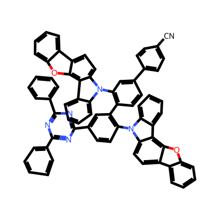 N#Cc1ccc(-c2ccc(-c3cc(-c4nc(-c5ccccc5)nc(-c5ccccc5)n4)ccc3-n3c4ccccc4c4c5oc6ccccc6c5ccc43)c(-n3c4ccccc4c4c5oc6ccccc6c5ccc43)c2)cc1